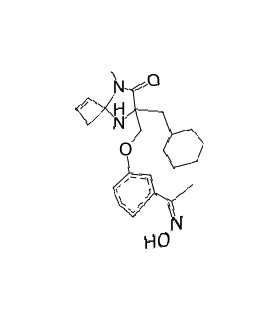 C/C(=N/O)c1cccc(OCC2(CC3CCCCC3)NC3(C=CC3)N(C)C2=O)c1